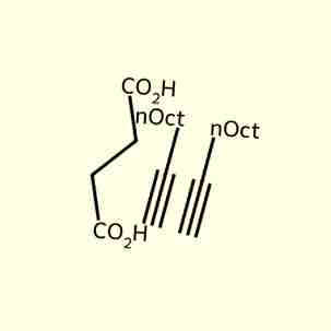 C#CCCCCCCCC.C#CCCCCCCCC.O=C(O)CCC(=O)O